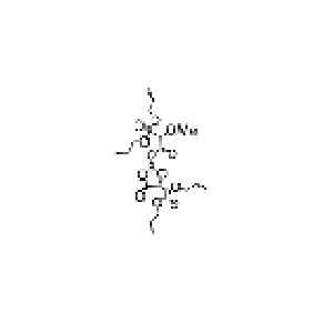 C=CCOP(=O)(OCC=C)C(OC)C(=O)OB1OC(=O)C(P(=O)(OCC=C)OCC=C)O1